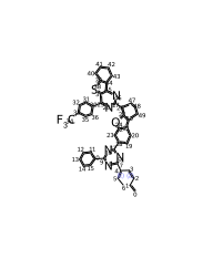 C=C/C=C\C(=C/C)c1nc(-c2ccccc2)nc(-c2ccc3c(c2)oc2c(-c4nc(-c5ccc(C(F)(F)F)cc5)c5sc6ccccc6c5n4)cccc23)n1